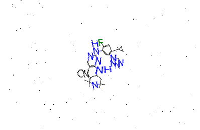 [C-]#[N+]c1cnc(Nc2cc(-n3cnnn3)c(C3CC3)cc2F)nc1NC1CC(C)(C)N(C)C(C)(C)C1